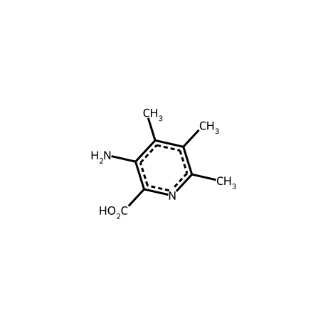 Cc1nc(C(=O)O)c(N)c(C)c1C